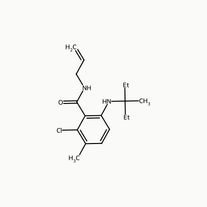 C=CCNC(=O)c1c(NC(C)(CC)CC)ccc(C)c1Cl